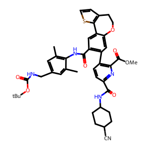 COC(=O)c1nc(C(=O)NC2CCC(C#N)CC2)ccc1-c1cc2c(cc1C(=O)Nc1c(C)cc(CNC(=O)OC(C)(C)C)cc1C)-c1sccc1CCO2